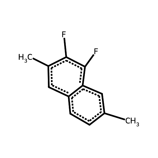 Cc1ccc2cc(C)c(F)c(F)c2c1